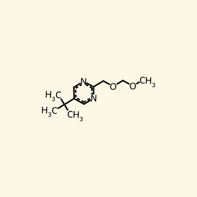 COCOCc1ncc(C(C)(C)C)cn1